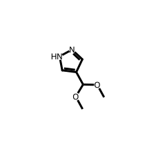 COC(OC)c1cn[nH]c1